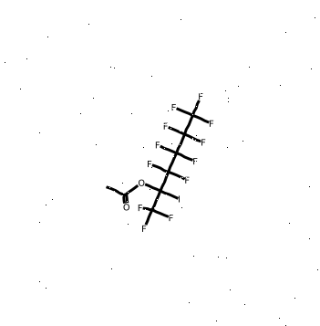 CC(=O)OC(I)(C(F)(F)F)C(F)(F)C(F)(F)C(F)(F)C(F)(F)F